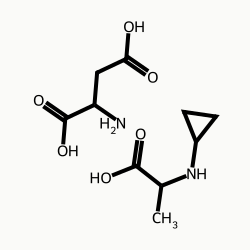 CC(NC1CC1)C(=O)O.NC(CC(=O)O)C(=O)O